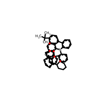 CC(C)(C)c1ccc(-c2ccccc2N(c2ccccc2-c2cccc3cccc(C4CCCCC4)c23)c2cccc3oc4ccccc4c23)cc1